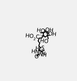 CC1(O)C(C)(O)[C@](C)(O)C(C)(CO)C[C@@]1(C)CC(CCCC1SC[C@@H]2NC(=O)N[C@H]12)C(=O)O